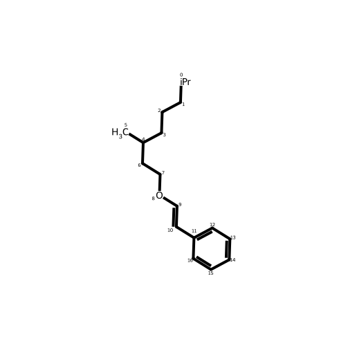 CC(C)CCCC(C)CCOC=Cc1ccccc1